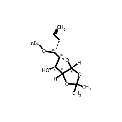 C=CC[C@@H](OCCCC)[C@@H]1O[C@@H]2OC(C)(C)O[C@@H]2[C@H]1O